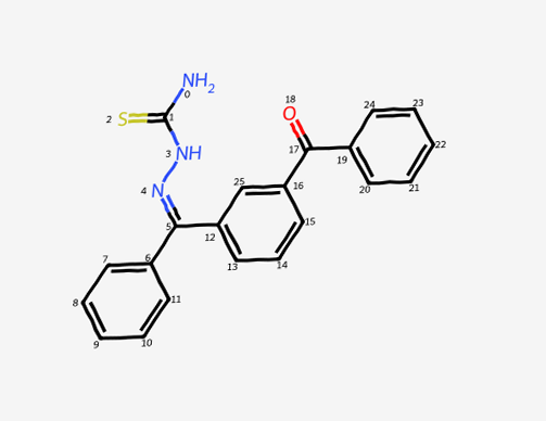 NC(=S)NN=C(c1ccccc1)c1cccc(C(=O)c2ccccc2)c1